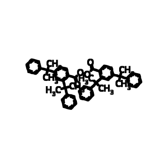 CC(C)(c1ccccc1)c1ccc(C(=O)OOC(=O)c2ccc(C(C)(C)c3ccccc3)cc2C(C)(C)c2ccccc2)c(C(C)(C)c2ccccc2)c1